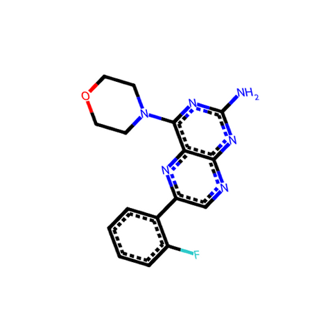 Nc1nc(N2CCOCC2)c2nc(-c3ccccc3F)cnc2n1